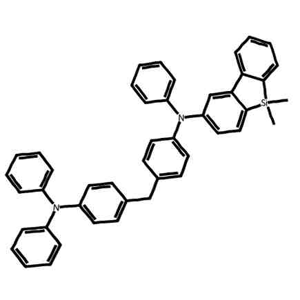 C[Si]1(C)c2ccccc2-c2cc(N(c3ccccc3)c3ccc(Cc4ccc(N(c5ccccc5)c5ccccc5)cc4)cc3)ccc21